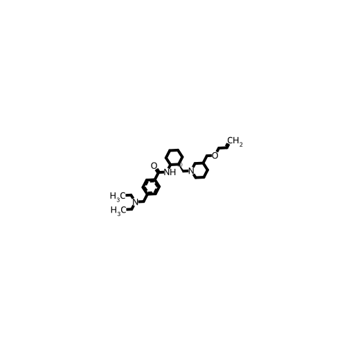 C=CCOCC1CCCN(C[C@@H]2CCCCC2NC(=O)c2ccc(CN(CC)CC)cc2)C1